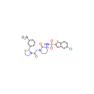 O=C1[C@@H](NS(=O)(=O)c2cc3cc(Cl)ccc3s2)CCCN1CC(=O)N1CCSC1c1cccc([N+](=O)[O-])c1